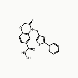 O=C(NO)c1ccc2c(c1)N(Cc1csc(-c3ccccc3)n1)C(=O)CO2